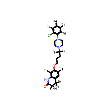 [2H]c1cc2c(c([2H])c1OCCCC([2H])([2H])N1CCN(c3c([2H])c([2H])c([2H])c(Cl)c3Cl)CC1)NC(=O)C([2H])(C)C2([2H])[2H]